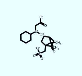 CC1(C)C2CCC1(CS(=O)(=O)[O-])C(=O)C2.CCC(=O)C[S+](C)C1CCCCC1